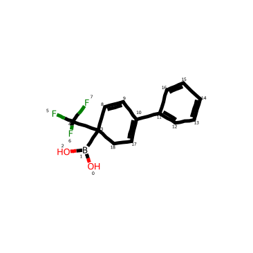 OB(O)C1(C(F)(F)F)C=CC(c2ccccc2)=CC1